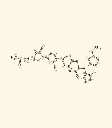 COc1ccc(Cn2nncc2CN(Cc2ccc(-c3ccc(N4C[C@H](CNC(C)=O)OC4=O)cc3F)cc2)C(=O)O)cc1